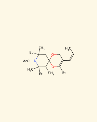 C/C=C\C1=C(CC)OC2(CC(C)(CC)N(OC(C)=O)C(C)(CC)C2C)OC1